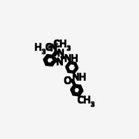 Cc1ccc(C(=O)N[C@H]2CC[C@@H](Nc3nc(N(C)C)c4ccccc4n3)CC2)cc1